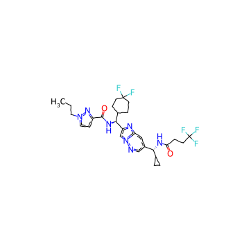 CCCn1ccc(C(=O)N[C@H](c2cn3ncc([C@H](NC(=O)CCC(F)(F)F)C4CC4)cc3n2)C2CCC(F)(F)CC2)n1